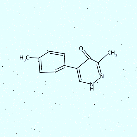 Cc1ccc(-c2c[nH]nc(C)c2=O)cc1